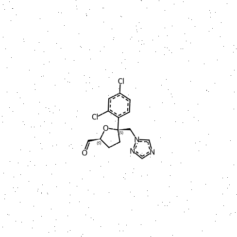 O=C[C@@H]1CC[C@@](Cn2cncn2)(c2ccc(Cl)cc2Cl)O1